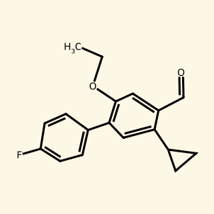 CCOc1cc(C=O)c(C2CC2)cc1-c1ccc(F)cc1